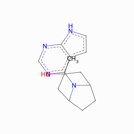 CC1(O)CC2CCC(C1)N2c1ncnc2[nH]ccc12